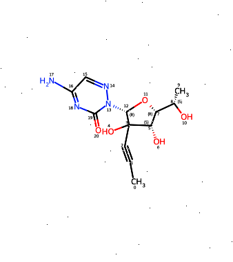 CC#CC1(O)[C@@H](O)[C@@H]([C@H](C)O)O[C@H]1n1ncc(N)nc1=O